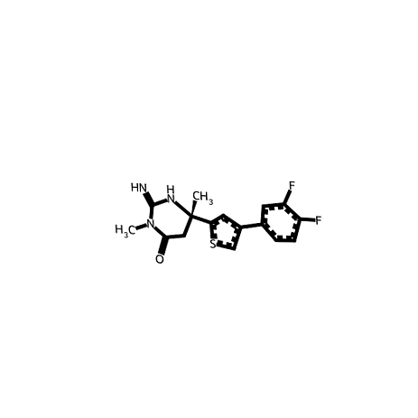 CN1C(=N)N[C@](C)(c2cc(-c3ccc(F)c(F)c3)cs2)CC1=O